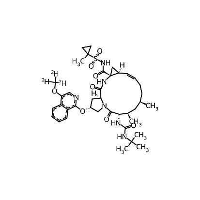 [2H]C([2H])([2H])Oc1cnc(O[C@@H]2C[C@H]3C(=O)N[C@]4(C(=O)NS(=O)(=O)C5(C)CC5)C[C@H]4/C=C\CC[C@@H](C)C[C@@H](C)[C@H](NC(=O)NC(C)(C)C)C(=O)N3C2)c2ccccc12